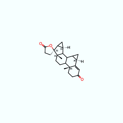 C[C@]12CCC(=O)C=C1[C@@H]1CC1C1C2CC[C@@]2(C)C1[C@@H]1CC1[C@@]21CCC(=O)O1